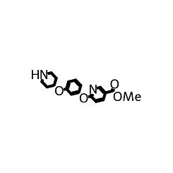 COC(=O)c1ccc(Oc2cccc(OC3CCNCC3)c2)nc1